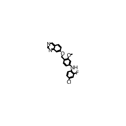 COc1cc(Nc2ccc(Cl)cc2F)ccc1COc1ccc2cncnc2c1